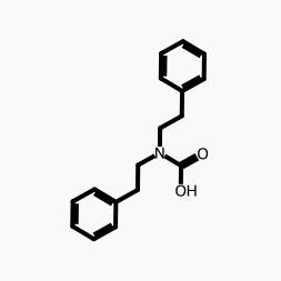 O=C(O)N(CCc1ccccc1)CCc1ccccc1